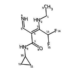 CCN/C(=C(\C=N)C(=O)NC1CC1)C(F)F